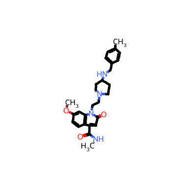 CNC(=O)c1cc(=O)n(CCN2CCC(NCc3ccc(C)cc3)CC2)c2cc(OC)ccc12